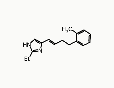 CCc1nc(C=CCCc2ccccc2C)c[nH]1